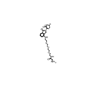 NCC(=O)NCCOCCOCCOCCNc1cccc2c1CN(C1CCC(=O)NC1=O)C2=O